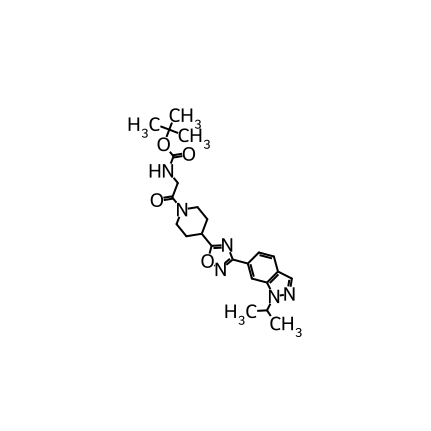 CC(C)n1ncc2ccc(-c3noc(C4CCN(C(=O)CNC(=O)OC(C)(C)C)CC4)n3)cc21